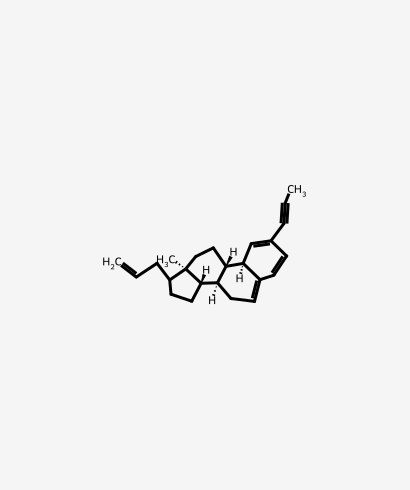 C=CCC1CC[C@H]2[C@@H]3CC=C4C=CC(C#CC)=C[C@@H]4[C@H]3CC[C@]12C